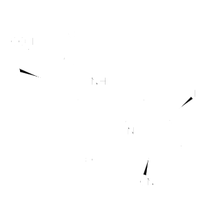 N#C[C@@H]1C[C@H](F)CN1C(=O)[C@@H]1C[C@@H](CC(=O)O)C(=O)N1